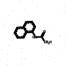 O=C(O)C(=O)Nc1cccc2ccccc12